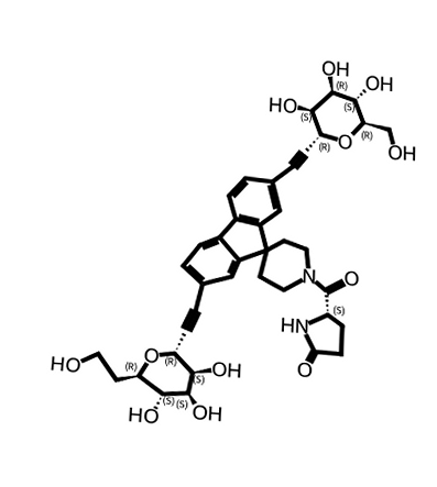 O=C1CC[C@@H](C(=O)N2CCC3(CC2)c2cc(C#C[C@H]4O[C@H](CO)[C@@H](O)[C@H](O)[C@@H]4O)ccc2-c2ccc(C#C[C@H]4O[C@H](CCO)[C@@H](O)[C@H](O)[C@@H]4O)cc23)N1